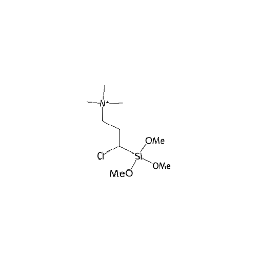 CO[Si](OC)(OC)C(Cl)CC[N+](C)(C)C